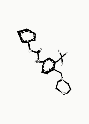 O=C(Nc1ccc(CN2CCOCC2)c(C(F)(F)F)c1)Oc1ccccc1